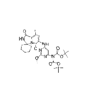 COc1nc(Nc2cc(C)c3n(c2=O)C2(CCCCC2)NC3=O)cc(N(C(=O)OC(C)(C)C)C(=O)OC(C)(C)C)n1